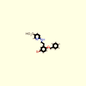 O=C(O)c1ccc(NCCc2cc(Br)ccc2OCc2ccccc2)nc1